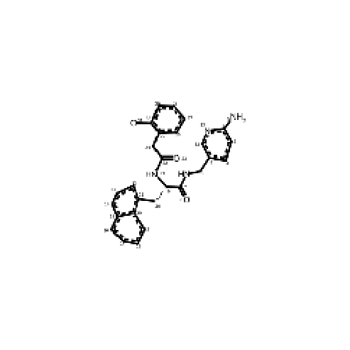 Nc1ccc(CNC(=O)[C@H](Cc2cccc3ccccc23)NC(=O)Cc2ccccc2Cl)cn1